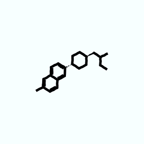 CCC(C)C[C@H]1CC[C@H](c2ccc3cc(C)ccc3c2)CC1